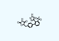 CS(=O)(=O)c1cccc(-c2ccc(CC3OC(=O)NC3=O)cc2)c1-c1nn[nH]n1